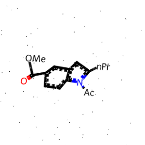 CCCc1cc2cc(C(=O)OC)ccc2n1C(C)=O